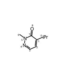 CC(C)c1ccnn(C)c1=O